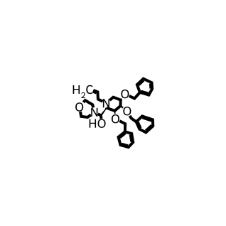 C=CCN1C[C@H](OCc2ccccc2)[C@@H](OCc2ccccc2)[C@H](OCc2ccccc2)[C@H]1C(O)N1CCOCC1